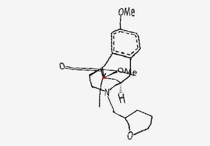 COc1ccc2c(c1)[C@]13CCN(CC4CCCO4)[C@H](C2)[C@]1(OC)C(C)CC(=O)C3